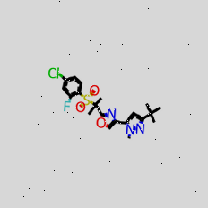 Cn1nc(C(C)(C)C)cc1-c1coc(C(C)(C)S(=O)(=O)c2ccc(Cl)cc2F)n1